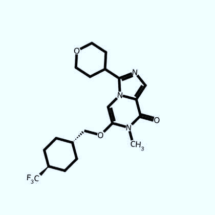 Cn1c(OC[C@H]2CC[C@H](C(F)(F)F)CC2)cn2c(C3CCOCC3)ncc2c1=O